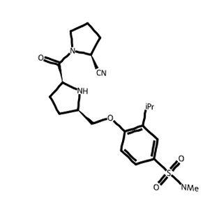 CNS(=O)(=O)c1ccc(OC[C@H]2CC[C@@H](C(=O)N3CCC[C@H]3C#N)N2)c(C(C)C)c1